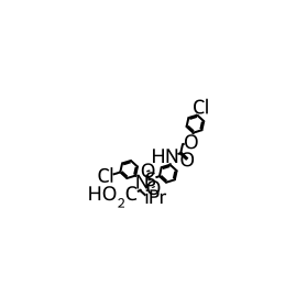 CC(C)C(C(=O)O)N(c1cccc(Cl)c1)S(=O)(=O)c1cccc(NC(=O)COc2ccc(Cl)cc2)c1